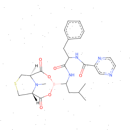 CC(C)CC(NC(=O)C(Cc1ccccc1)NC(=O)c1cnccn1)B1OC(=O)[C@@H]2CSC[C@@H](C(=O)O1)N2C